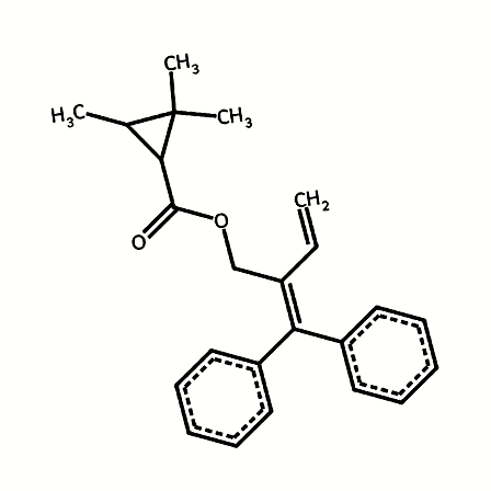 C=CC(COC(=O)C1C(C)C1(C)C)=C(c1ccccc1)c1ccccc1